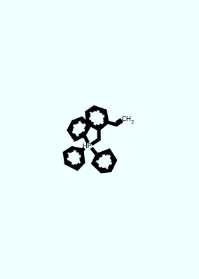 C=Cc1ccccc1C[PH](c1ccccc1)(c1ccccc1)c1ccccc1